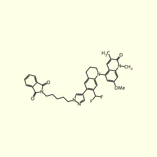 COc1cc(N2CCCc3cc(-c4cnn(CCCCCN5C(=O)c6ccccc6C5=O)c4)c(C(F)F)cc32)c2cc(C)c(=O)n(C)c2c1